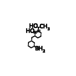 BC1CCCC(CC2CCC[C@H](C(C)O)[C@@H]2O)C1